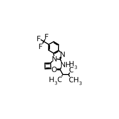 CC(C)[C@@H](C)C(=O)Nc1nc2ccc(C(F)(F)F)cc2n1C1=CC=C1